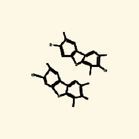 Cc1cc2c(cc1Br)sc1c(C)c(Br)c(C)cc12.Cc1cc2c(cc1Cl)sc1c(C)c(I)c(C)cc12